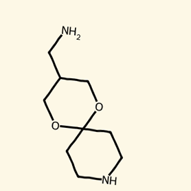 NCC1COC2(CCNCC2)OC1